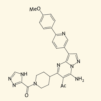 COc1ccc(-c2ccc(-c3cnn4c(N)c(C(C)=O)c(C5CCN(C(=O)c6nnc[nH]6)CC5)nc34)cn2)cc1